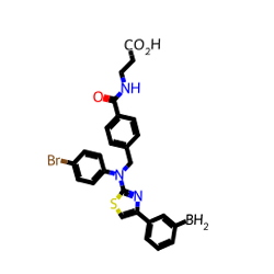 Bc1cccc(-c2csc(N(Cc3ccc(C(=O)NCCC(=O)O)cc3)c3ccc(Br)cc3)n2)c1